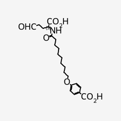 O=CCC[C@H](NC(=O)CCCCCCCCCOc1ccc(C(=O)O)cc1)C(=O)O